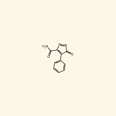 NC(=O)C1=C(c2ccccc2)C(=O)N=N1